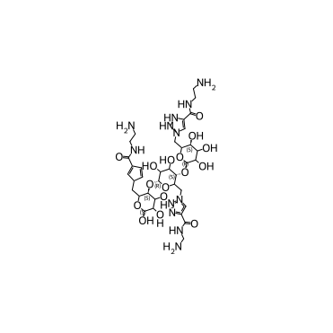 NCCNC(=O)C1=CC(CC2O[C@H](O)C(O)C(O)[C@@H]2O[C@H]2OC(Cn3cc(C(=O)NCN)nn3)[C@@H](O[C@H]3OC(CN4C=C(C(=O)NCCN)NN4)[C@@H](O)C(O)C3O)C(O)C2O)C=C1